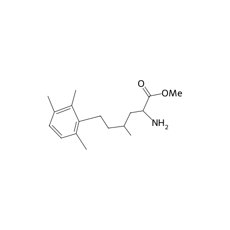 COC(=O)C(N)CC(C)CCc1c(C)ccc(C)c1C